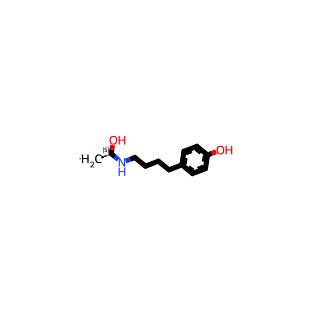 [CH2][C@H](O)NCCCCc1ccc(O)cc1